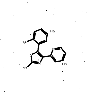 Br.Br.CCCc1nc(-c2ccccn2)c(-c2ccccc2C)s1